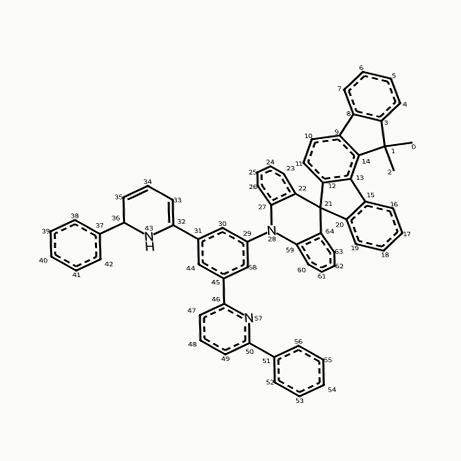 CC1(C)c2ccccc2-c2ccc3c(c21)-c1ccccc1C31c2ccccc2N(c2cc(C3=CC=CC(c4ccccc4)N3)cc(-c3cccc(-c4ccccc4)n3)c2)c2ccccc21